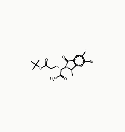 C[C@@H]1c2cc(Br)c(F)cc2C(=O)N1[C@@H](CCC(=O)OC(C)(C)C)C(N)=O